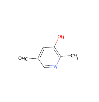 Cc1ncc(C=O)cc1O